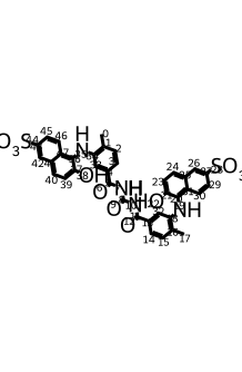 Cc1ccc(C(=O)NC(=O)NC(=O)c2ccc(C)c(Nc3c(O)ccc4cc(S(=O)(=O)O)ccc34)c2)cc1Nc1c(O)ccc2cc(S(=O)(=O)O)ccc12